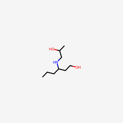 CCCC(CCO)NCC(C)O